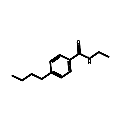 CCCCc1ccc(C(=O)NCC)cc1